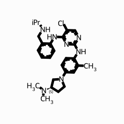 Cc1cc(N2CC[C@H](N(C)C)C2)ccc1Nc1ncc(Cl)c(Nc2ccccc2CNC(C)C)n1